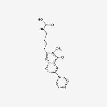 Cn1c(CCCCNC(=O)O)nc2ccc(-c3ccncc3)cc2c1=O